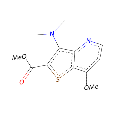 COC(=O)c1sc2c(OC)ccnc2c1N(C)C